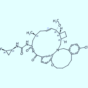 CO[C@H]1/C=C/C[C@H](C)CS(=O)(NC(=O)N[C@H]2C[C@H]2F)=NC(=O)c2ccc3c(c2)N(Cc2ccc(Cl)cc2CCCCO3)C[C@@H]2CC[C@H]21